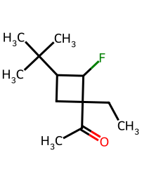 CCC1(C(C)=O)CC(C(C)(C)C)C1F